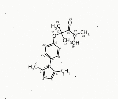 Cc1ccc(C)n1-c1ccc(OC(C)(C)C(=O)N(C)O)cc1